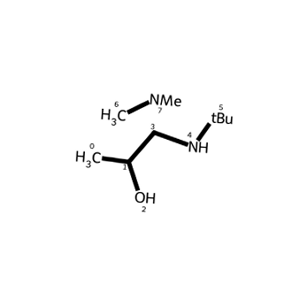 CC(O)CNC(C)(C)C.CNC